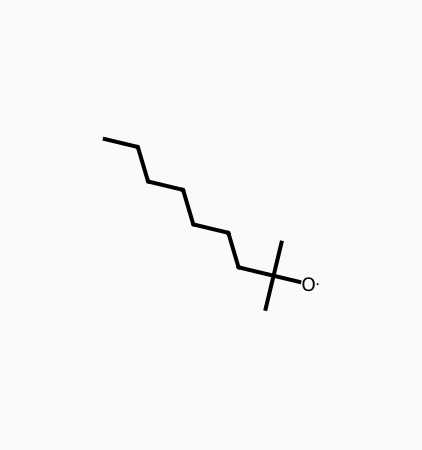 CCCCCCCC(C)(C)[O]